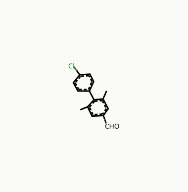 Cc1cc(C=O)cc(C)c1-c1ccc(Cl)cc1